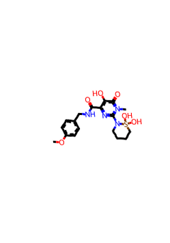 COc1ccc(CNC(=O)c2nc(N3CCCCS3(O)O)n(C)c(=O)c2O)cc1